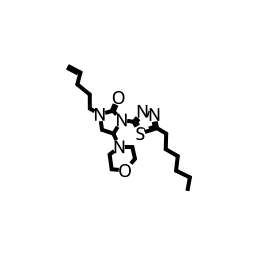 C=CCCCN1CC(N2CCOCC2)N(c2nnc(CCCCCC)s2)C1=O